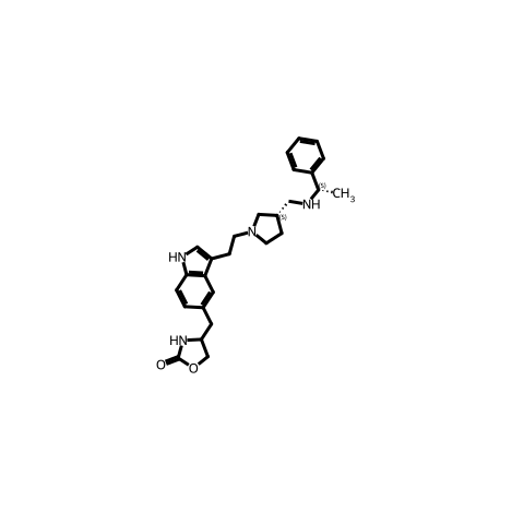 C[C@H](NC[C@@H]1CCN(CCc2c[nH]c3ccc(CC4COC(=O)N4)cc23)C1)c1ccccc1